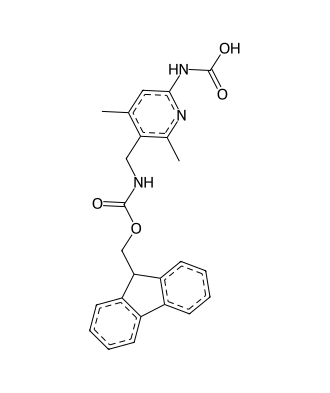 Cc1cc(NC(=O)O)nc(C)c1CNC(=O)OCC1c2ccccc2-c2ccccc21